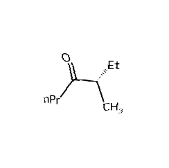 C[CH]CC(=O)[C@@H](C)CC